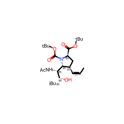 C/C=C\[C@@H]1C[C@H](C(=O)OC(C)(C)C)N(C(=O)OC(C)(C)C)[C@H]1[C@@H](NC(C)=O)[C@H](O)[C@H](C)CC